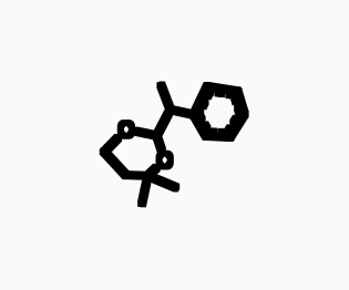 CC(c1ccccc1)C1OCCC(C)(C)O1